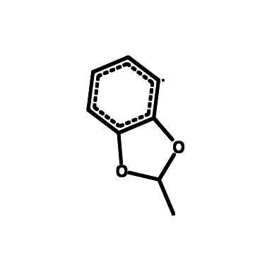 CC1Oc2[c]cccc2O1